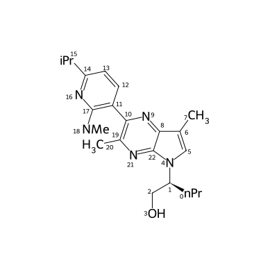 CCC[C@@H](CO)n1cc(C)c2nc(-c3ccc(C(C)C)nc3NC)c(C)nc21